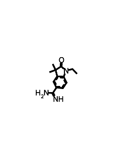 CCN1C(=O)C(C)(C)c2cc(C(=N)N)ccc21